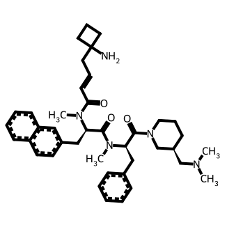 CN(C)C[C@@H]1CCCN(C(=O)[C@@H](Cc2ccccc2)N(C)C(=O)[C@@H](Cc2ccc3ccccc3c2)N(C)C(=O)C=CCC2(N)CCC2)C1